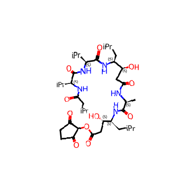 CC(C)CC(=O)N[C@H](C(=O)N[C@H](C(=O)N[C@@H](CC(C)C)[C@@H](O)CC(=O)N[C@@H](C)C(=O)N[C@@H](CC(C)C)[C@@H](O)CC(=O)OC1C(=O)CCC1=O)C(C)C)C(C)C